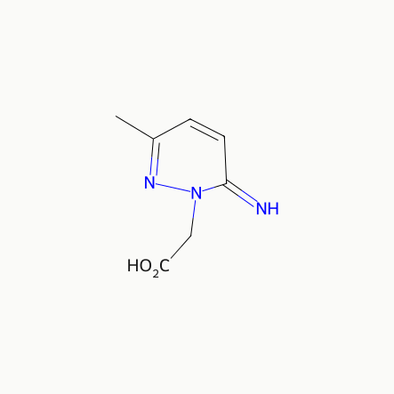 Cc1ccc(=N)n(CC(=O)O)n1